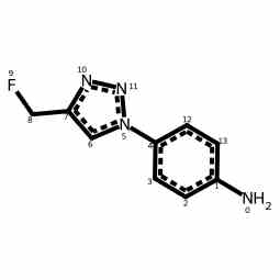 Nc1ccc(-n2cc(CF)nn2)cc1